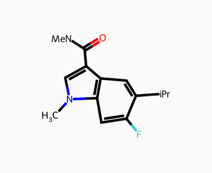 CNC(=O)c1cn(C)c2cc(F)c(C(C)C)cc12